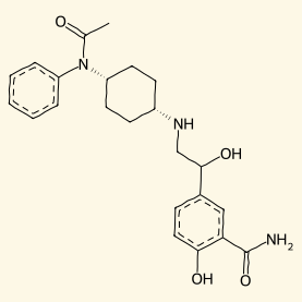 CC(=O)N(c1ccccc1)[C@H]1CC[C@@H](NCC(O)c2ccc(O)c(C(N)=O)c2)CC1